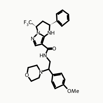 COc1ccc(C(CNC(=O)c2cnn3c2N[C@@H](c2ccccc2)C[C@H]3C(F)(F)F)N2CCOCC2)cc1